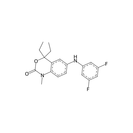 CCC1(CC)OC(=O)N(C)c2ccc(Nc3cc(F)cc(F)c3)cc21